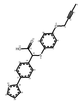 CC#CCOc1ccc(SC(C(=O)O)c2ccc(-c3cccs3)cc2)cc1